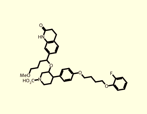 COCCCC(OC1CN(C(=O)O)CCC1c1ccc(OCCCCOc2ccccc2F)cc1)c1ccc2c(c1)NC(=O)CC2